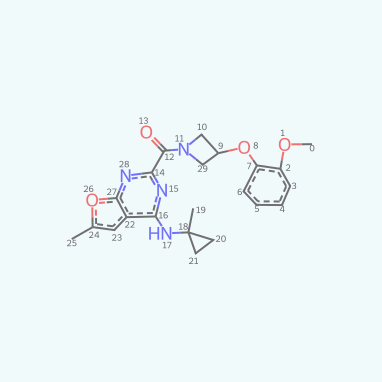 COc1ccccc1OC1CN(C(=O)c2nc(NC3(C)CC3)c3cc(C)oc3n2)C1